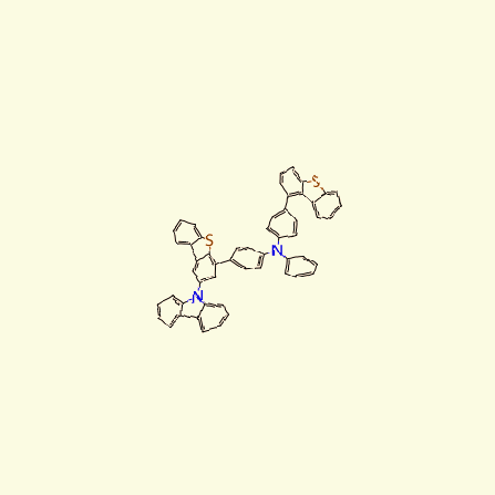 c1ccc(N(c2ccc(-c3cc(-n4c5ccccc5c5ccccc54)cc4c3sc3ccccc34)cc2)c2ccc(-c3cccc4sc5ccccc5c34)cc2)cc1